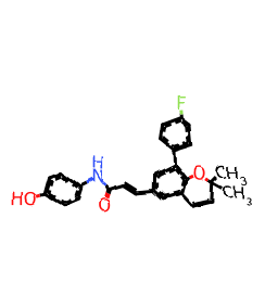 CC1(C)C=Cc2cc(C=CC(=O)Nc3ccc(O)cc3)cc(-c3ccc(F)cc3)c2O1